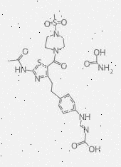 CC(=O)Nc1nc(CCc2ccc(NC=NC(=O)O)cc2)c(C(=O)N2CCN(S(C)(=O)=O)CC2)s1.NC(=O)O